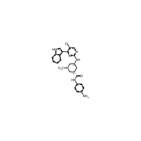 CN1C[C@@H](Nc2ncc(Cl)c(-c3c[nH]c4ccccc34)n2)C[C@H](C(=O)Nc2ccc(N)cc2)C1